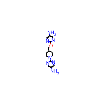 Nc1cnc(OCC2CCN(c3ncc(N)cn3)CC2)nc1